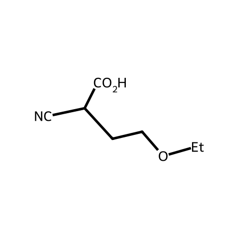 CCOCCC(C#N)C(=O)O